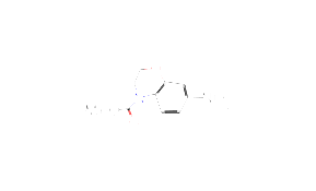 COC(=O)N1CCOc2cc([N+](=O)[O-])ccc21